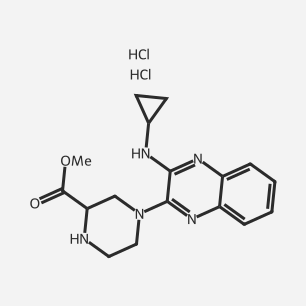 COC(=O)C1CN(c2nc3ccccc3nc2NC2CC2)CCN1.Cl.Cl